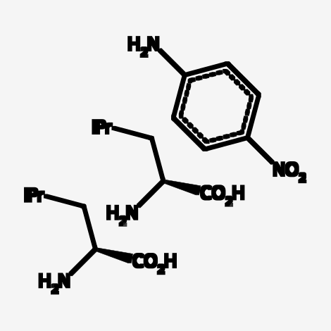 CC(C)C[C@H](N)C(=O)O.CC(C)C[C@H](N)C(=O)O.Nc1ccc([N+](=O)[O-])cc1